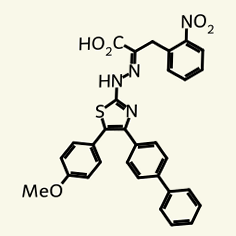 COc1ccc(-c2sc(N/N=C(/Cc3ccccc3[N+](=O)[O-])C(=O)O)nc2-c2ccc(-c3ccccc3)cc2)cc1